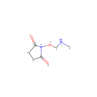 CNCON1C(=O)CCC1=O